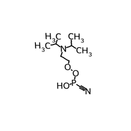 CC(C)N(CCOOP(O)C#N)C(C)C